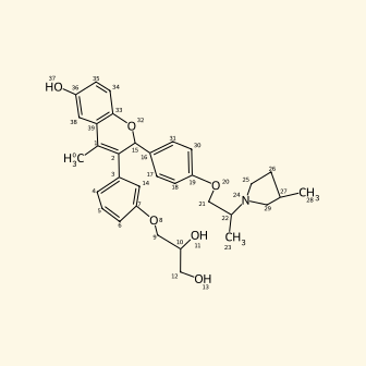 CC1=C(c2cccc(OCC(O)CO)c2)C(c2ccc(OCC(C)N3CCC(C)C3)cc2)Oc2ccc(O)cc21